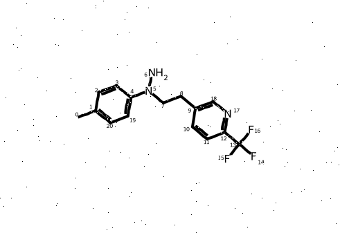 Cc1ccc(N(N)CCc2ccc(C(F)(F)F)nc2)cc1